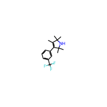 CC1=C(c2cccc(C(F)(F)F)c2)C(C)(C)NC1(C)C